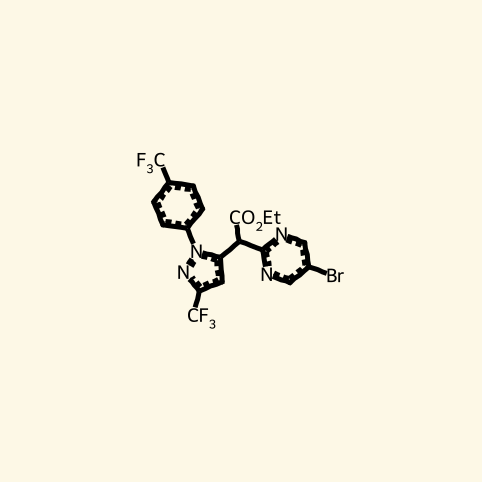 CCOC(=O)C(c1ncc(Br)cn1)c1cc(C(F)(F)F)nn1-c1ccc(C(F)(F)F)cc1